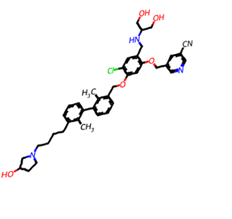 Cc1c(CCCCN2CCC(O)C2)cccc1-c1cccc(COc2cc(OCc3cncc(C#N)c3)c(CNC(CO)CO)cc2Cl)c1C